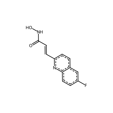 O=C(C=Cc1ccc2cc(F)ccc2n1)NO